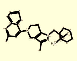 Cc1cc(N2CCc3c(c(C)nn3CC3CC4CCC3(N)CC4)C2)c2ccccc2n1